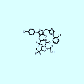 O=C(NC(Cn1c(-c2ccc(Cl)cc2)nn(Cc2ncn(-c3ncccc3Cl)n2)c1=O)C(F)(F)F)C1CC(C(F)(F)F)CN1C(=O)O